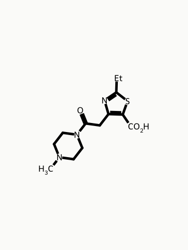 CCc1nc(CC(=O)N2CCN(C)CC2)c(C(=O)O)s1